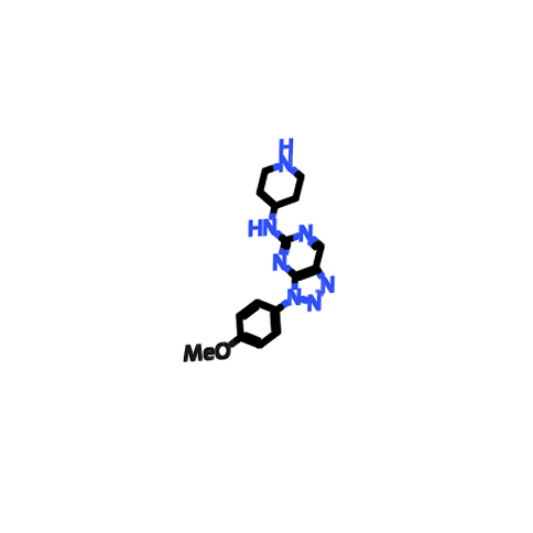 COc1ccc(-n2nnc3cnc(NC4CCNCC4)nc32)cc1